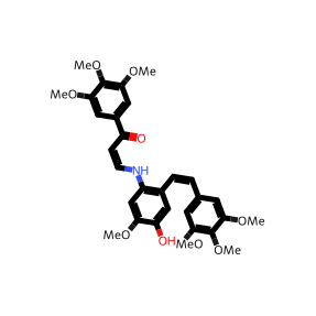 COc1cc(N/C=C\C(=O)c2cc(OC)c(OC)c(OC)c2)c(/C=C\c2cc(OC)c(OC)c(OC)c2)cc1O